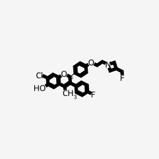 CC1=C(c2ccc(F)cc2)[C@@H](c2ccc(OCCN3CC(CF)C3)cc2)Oc2cc(Cl)c(O)cc21